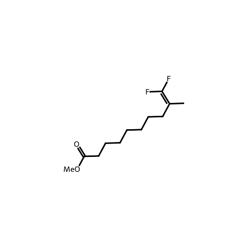 COC(=O)CCCCCCCC(C)=C(F)F